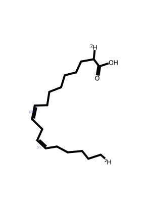 [2H]CCCCC/C=C\C/C=C\CCCCCCC([2H])C(=O)O